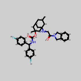 CC1CC2CC(NCC(=O)N3Cc4ccccc4C3)(C1)CC(C)(OC(=O)NC(c1ccc(F)cc1)c1ccc(F)cc1)C2